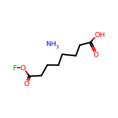 N.O=C(O)CCCCCCC(=O)OF